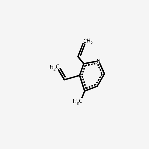 C=Cc1nccc(C)c1C=C